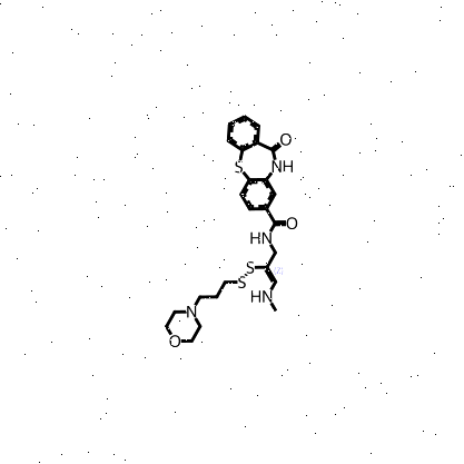 CN/C=C(/CNC(=O)c1ccc2c(c1)NC(=O)c1ccccc1S2)SSCCCN1CCOCC1